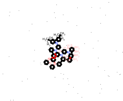 Bc1c(B)c(B)c2c(c1B)c1c(B)c(B)c(B)c(B)c1n2-c1ccc2c(c1)N(c1cc(-c3ccccc3)cc(-c3ccccc3)c1)c1cc(-c3cc4c5c(c3)Oc3ccccc3B5c3ccccc3O4)cc3c1B2c1ccc(-n2c4ccc(C(C)(C)C)cc4c4cc(C(C)(C)C)ccc42)cc1N3c1ccccc1-c1ccccc1